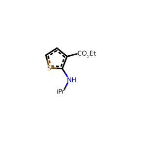 CCOC(=O)c1ccsc1NC(C)C